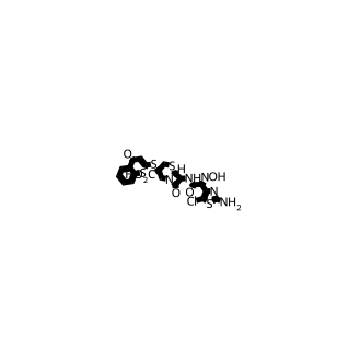 Nc1nc(C(=NO)C(=O)NC2C(=O)N3CC(Sc4cc(=O)c5ccccc5s4)(C(=O)O)CS[C@H]23)c(Cl)s1